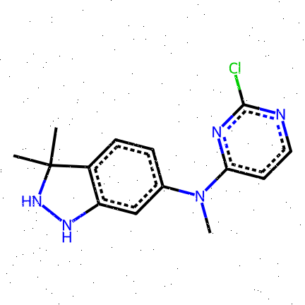 CN(c1ccc2c(c1)NNC2(C)C)c1ccnc(Cl)n1